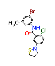 Cc1cc(Br)cc(NC(=O)c2cc(N3CCCS3)ccc2Cl)c1